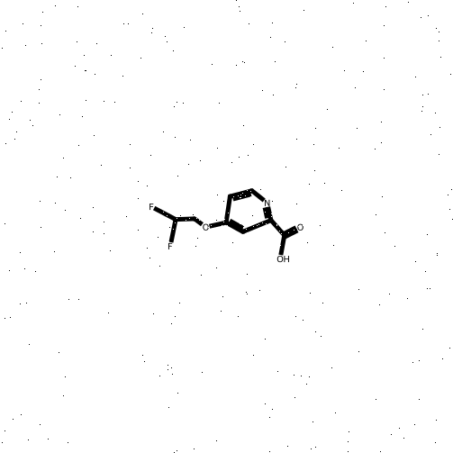 O=C(O)c1cc(OCC(F)F)ccn1